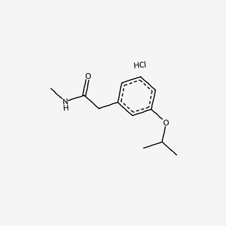 CNC(=O)Cc1cccc(OC(C)C)c1.Cl